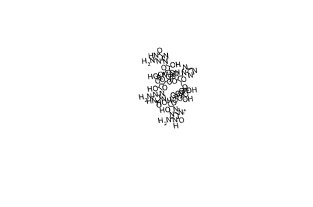 COC1C(OP([O-])(=S)OCC2OC(n3cnc4c(=O)[nH]c(N)nc43)C(O)C2OP(=O)(O)OCC2OC(n3cnc4c(=O)[nH]c(N)nc43)C(O)C2O)C(COP(=O)(O)OP(=O)(O)OP(=O)(O)OCC2OC(n3c[n+](C)c4c(=O)[nH]c(N)nc43)C(O)C2O)OC1n1cnc2cncnc21